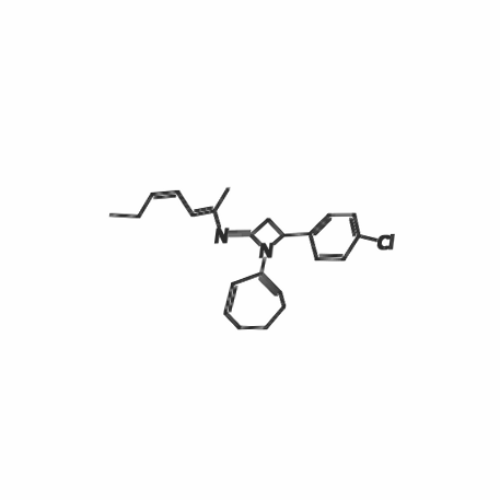 CC\C=C/C=C(C)/N=C1\CC(c2ccc(Cl)cc2)N1C1=CCCCC=C1